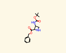 CC(C)(C)OC(=O)NC1CNC1C(=O)OCc1ccccc1